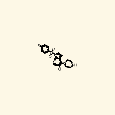 O=S(=O)(c1ccc(F)cc1)n1ccc2c(N3CCNCC3)c(Cl)ccc21